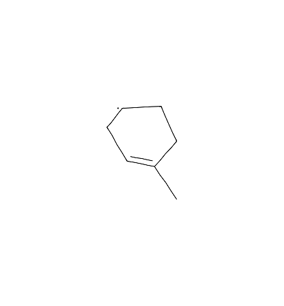 CC1=CC[CH]CC1